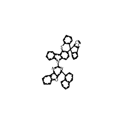 c1ccc2c(c1)Sc1c(ccc3c1c1ccccc1n3-c1nc(-c3cccc4ccccc34)c3oc4ccccc4c3n1)C21c2ccccc2-c2ccccc21